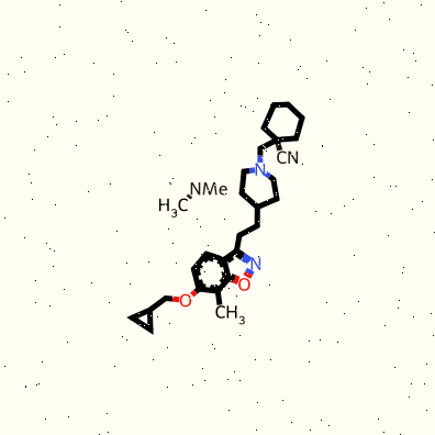 CNC.Cc1c(OCC2CC2)ccc2c(CCC3CCN(CC4(C#N)CCCCC4)CC3)noc12